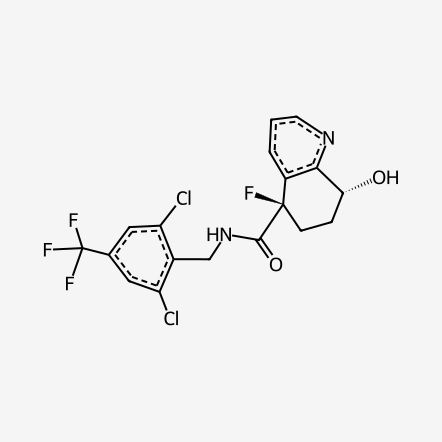 O=C(NCc1c(Cl)cc(C(F)(F)F)cc1Cl)[C@@]1(F)CC[C@@H](O)c2ncccc21